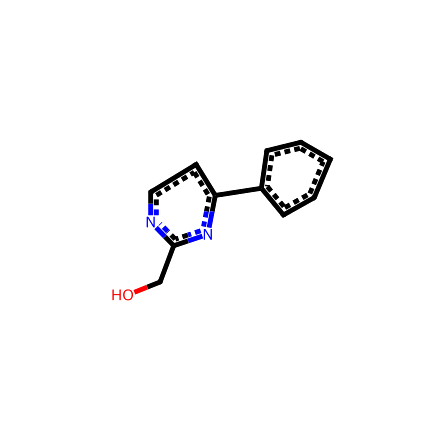 OCc1nccc(-c2ccccc2)n1